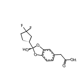 O=C(O)Cc1ccc2c(c1)O[C@@](O)([C@@H]1CCC(F)(F)C1)O2